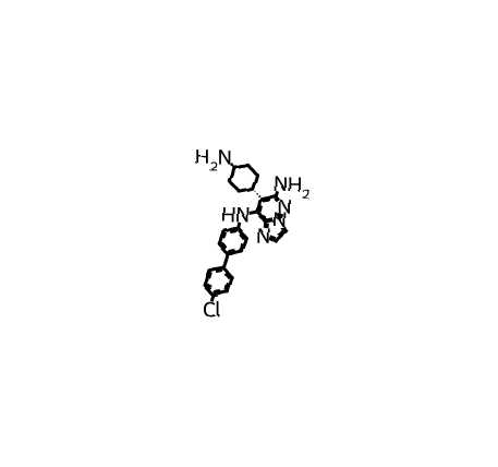 Nc1nn2ccnc2c(Nc2ccc(-c3ccc(Cl)cc3)cc2)c1[C@H]1CC[C@H](N)CC1